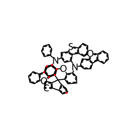 c1ccc(N(c2cc(N(c3ccc4c(c3)oc3ccccc34)c3cccc4c3Oc3ccccc3C43c4ccccc4-c4ccccc43)c3c(c2)sc2ccccc23)c2ccc3oc4ccccc4c3c2)cc1